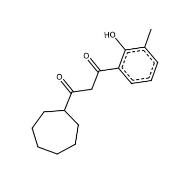 Cc1cccc(C(=O)CC(=O)C2CCCCCC2)c1O